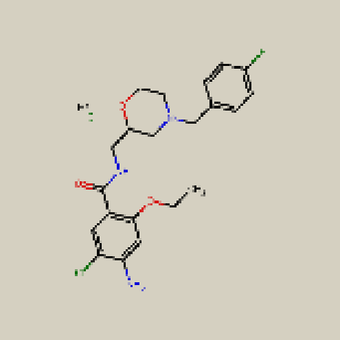 CCOc1cc(N)c(Cl)cc1C(=O)NCC1CN(Cc2ccc(F)cc2)CCO1.[Cl-].[H+]